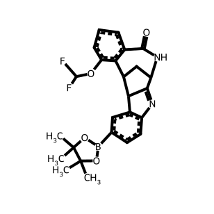 CC1(C)OB(c2ccc3c(c2)C2C(=N3)C3CC2c2c(OC(F)F)cccc2C(=O)N3)OC1(C)C